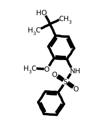 COc1cc(C(C)(C)O)ccc1NS(=O)(=O)c1ccccc1